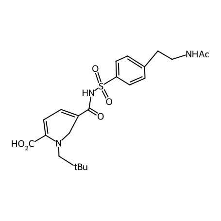 CC(=O)NCCc1ccc(S(=O)(=O)NC(=O)C2=CC=C(C(=O)O)N(CC(C)(C)C)C2)cc1